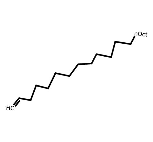 [CH]=CCCCCCCCCCCCCCCCCCC[CH2]